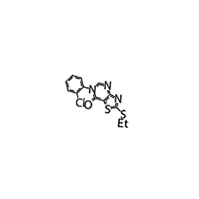 CCSc1nc2ncn(-c3ccccc3Cl)c(=O)c2s1